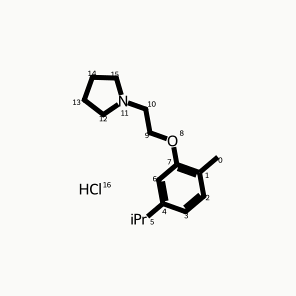 Cc1ccc(C(C)C)cc1OCCN1CCCC1.Cl